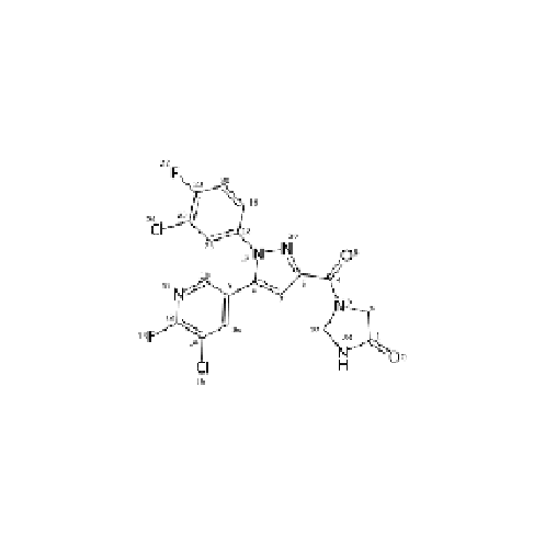 O=C1CN(C(=O)c2cc(-c3cnc(F)c(Cl)c3)n(-c3ccc(F)c(Cl)c3)n2)CN1